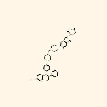 O=C1CCC(N2Cc3cc(N4CCN(CC5CCN(c6ccc([C@@H]7c8ccc(O)cc8OCC7c7ccccc7)cc6)CC5)CC4)c(F)cc3C2=O)C(=O)N1